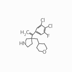 C=C(c1cc(F)c(Cl)c(Cl)c1)C1(CC2CCOCC2)CCNC1